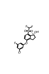 O=S(=O)(c1ccc(Oc2cc(F)cc(Cl)c2)c2c1[C@H](O)CC2)C(F)F